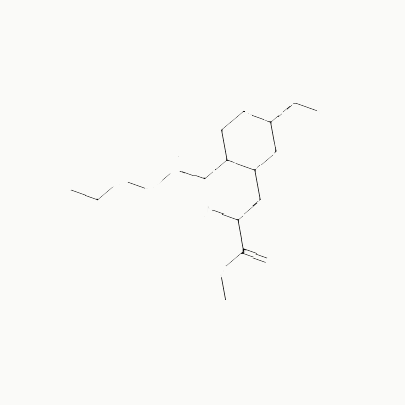 CCOOPCC1CCC(CO)CC1CC(N)C(=O)OC